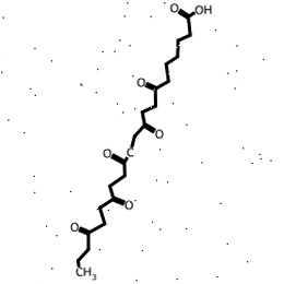 CCCC(=O)CCC(=O)CCC(=O)CCC(=O)CCC(=O)CCCCCC(=O)O